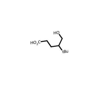 CC(C)(C)C(CO)CCC(=O)O